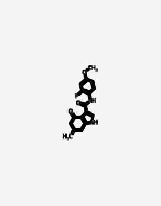 COc1ccc(NC(=O)c2c[nH]c3c2C(=O)CC(C)C3)c(F)c1